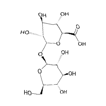 O=C(O)[C@H]1OC(O[C@@H]2O[C@H](CO)[C@@H](O)[C@H](O)[C@H]2O)[C@H](O)[C@@H](O)[C@@H]1O